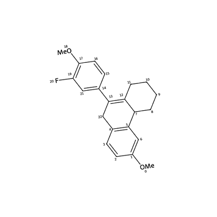 COc1ccc2c(c1)C1CCCCC1=C(c1ccc(OC)c(F)c1)C2